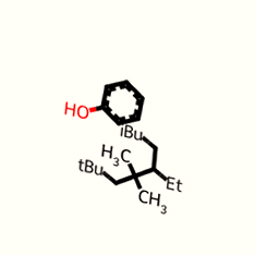 Oc1ccccc1.[CH2]C(CC)CC(CC)C(C)(C)CC(C)(C)C